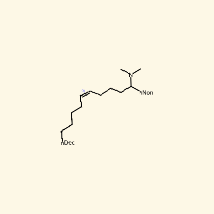 CCCCCCCCCCCCCC/C=C\CCCC(CCCCCCCCC)N(C)C